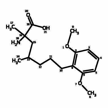 COc1cccc(OC)c1CCCC(C)CC(C)(N)C(=O)O